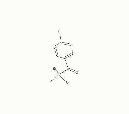 O=C(c1ccc(F)cc1)C(F)(Br)Br